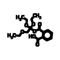 CCOCC(OCC)(OCC)OC(=O)c1ccccc1C(=O)O